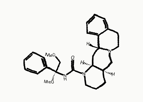 COC[C@](NC(=O)N1CCC[C@@H]2CN3CCc4ccccc4[C@H]3C[C@@H]21)(OC)c1ccccc1